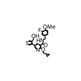 COc1ccc(CNC(=O)c2cc(-c3cscc3CO)cnc2OCC2CC2)cc1F